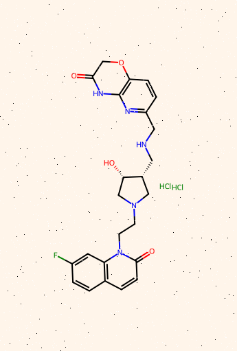 Cl.Cl.O=C1COc2ccc(CNC[C@@H]3CN(CCn4c(=O)ccc5ccc(F)cc54)C[C@@H]3O)nc2N1